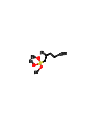 CCCCCCCCCCCCC(CC)CS(OCC)(OCC)OCC